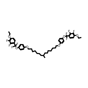 CCOc1ccc(C(F)(F)Oc2ccc(OCCCCCCCC(C)CCCCCCCOc3ccc(OC(F)(F)c4ccc(OCC)c(F)c4F)cc3)cc2)c(F)c1F